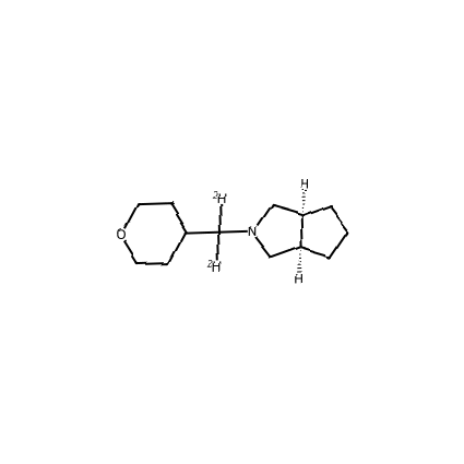 [2H]C([2H])(C1CCOCC1)N1C[C@H]2CCC[C@H]2C1